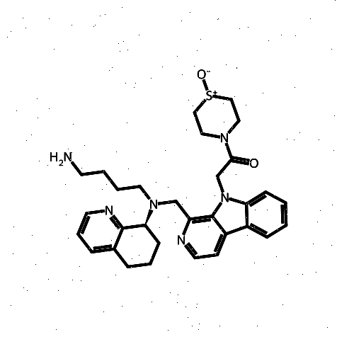 NCCCCN(Cc1nccc2c3ccccc3n(CC(=O)N3CC[S+]([O-])CC3)c12)[C@H]1CCCc2cccnc21